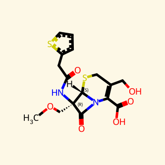 COC[C@@]1(NC(=O)Cc2cccs2)C(=O)N2C(C(=O)O)=C(CO)CS[C@H]21